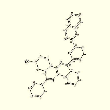 CC1C=CC2C3=C(N=C(C4C=CC=CC4)C2C1)C1N=CC=CC1C(C1=CCCC(c2ccc4ccccc4c2)=C1)=C3